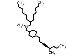 CCCCCCC(CCCCCC)CN(C)CC1CCN(CCC#CC(C)CCC)CC1